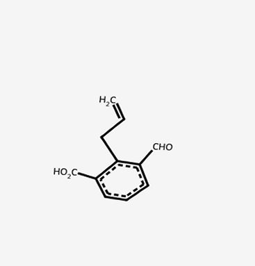 C=CCc1c(C=O)cccc1C(=O)O